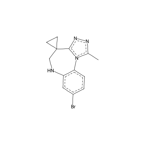 Cc1nnc2n1-c1ccc(Br)cc1NCC21CC1